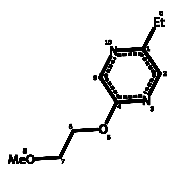 CCc1cnc(OCCOC)cn1